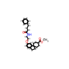 COC(=O)C1CCC2(CCc3ccc(OCCNC(=O)CCCc4ccccc4)cc32)CC1